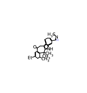 CCC1=CC2=C(C(C)C1)C(C)(C)c1[nH]c3c(c1CC2=O)=CCC=C(/C=N\C)C=3